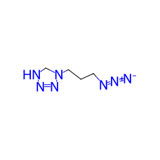 [N-]=[N+]=NCCCN1CNN=N1